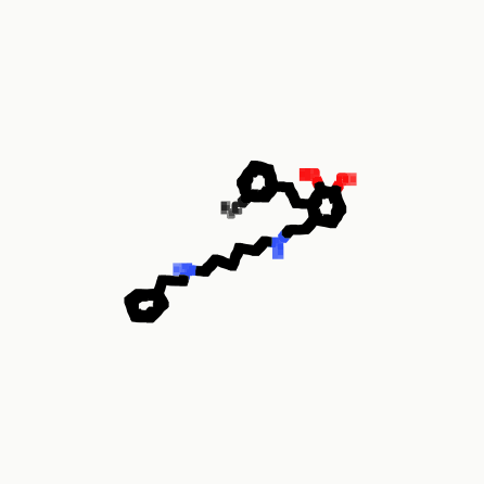 Oc1ccc(CCNCCCCCCNCCc2ccccc2)c(CCc2cccc(C(F)(F)F)c2)c1O